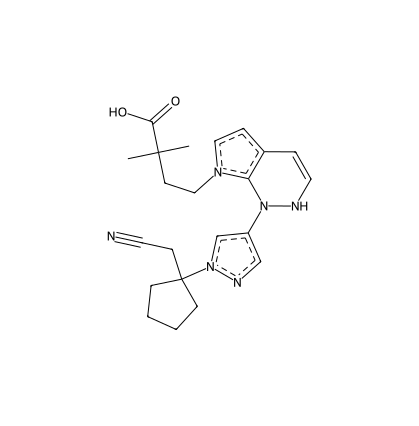 CC(C)(CCn1ccc2c1N(c1cnn(C3(CC#N)CCCC3)c1)NC=C2)C(=O)O